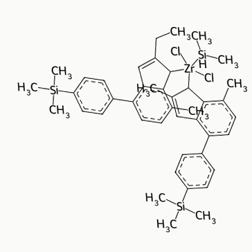 CCC1=Cc2c(-c3ccc([Si](C)(C)C)cc3)ccc(C)c2[CH]1[Zr]([Cl])([Cl])([CH]1C(C)=Cc2c(-c3ccc([Si](C)(C)C)cc3)ccc(C)c21)[SiH](C)C